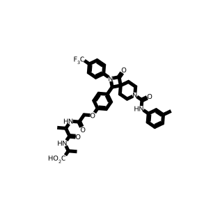 Cc1cccc(NC(=O)N2CCC3(CC2)C(=O)N(c2ccc(C(F)(F)F)cc2)C3c2ccc(OCC(=O)NC(C)C(=O)NC(C)C(=O)O)cc2)c1